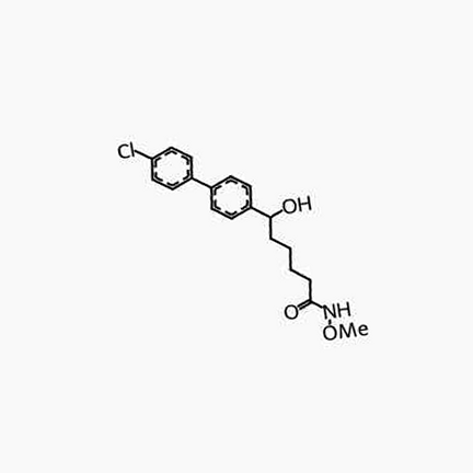 CONC(=O)CCCCC(O)c1ccc(-c2ccc(Cl)cc2)cc1